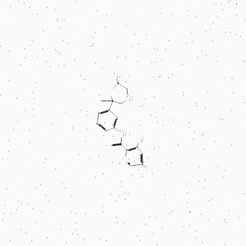 CC1(c2cccc(NC(=O)c3ncc(Cl)cc3Cl)c2)CNCC(N)O1